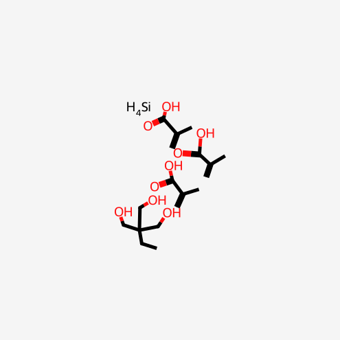 C=C(C)C(=O)O.C=C(C)C(=O)O.C=C(C)C(=O)O.CCC(CO)(CO)CO.[SiH4]